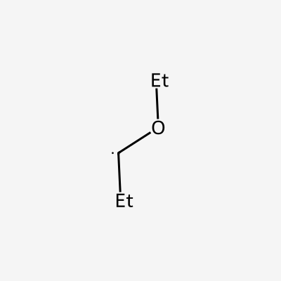 [CH2]CO[CH]CC